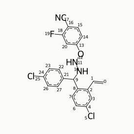 C=Cc1cc(Cl)ccc1C(NNOc1ccc(C#N)c(F)c1)c1ccc(Cl)cc1